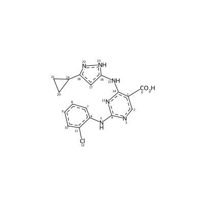 O=C(O)c1cnc(Nc2ccccc2Cl)nc1Nc1cc(C2CC2)n[nH]1